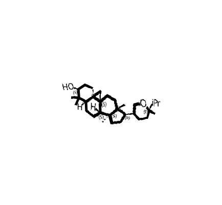 CC(C)[C@@]1(C)CCC([C@H]2CC[C@@]3(C)[C@@H]4CC[C@H]5C(C)(C)[C@@H](O)CC[C@@]56C[C@@]46CC[C@]23C)CO1